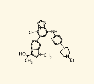 CCN1CCN(c2ccc(Nc3cc(-c4ccc5c(C(C)O)cn(C)c5c4)c(Cl)n4ccnc34)nc2)CC1